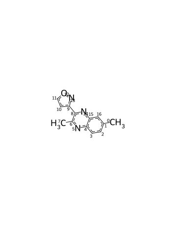 Cc1ccc2nc(C)c(-c3ccon3)nc2c1